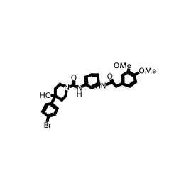 COc1ccc(CC(=O)Nc2cccc(NC(=O)N3CCC(O)(c4ccc(Br)cc4)CC3)c2)cc1OC